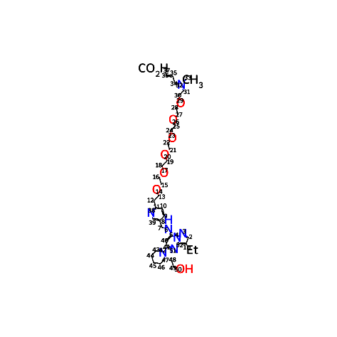 CCc1cnn2c(NCc3ccc(CCOCCOCCOCCOCCOCCOCCN(C)C/C=C/C(=O)O)nc3)cc(N3CCCC[C@H]3CCO)nc12